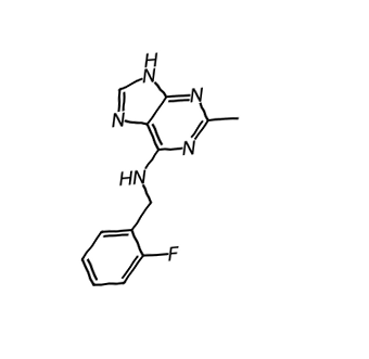 Cc1nc(NCc2ccccc2F)c2nc[nH]c2n1